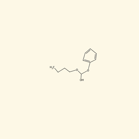 CCCCOC(O)Oc1ccccc1